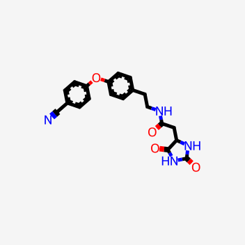 N#Cc1ccc(Oc2ccc(CCNC(=O)CC3NC(=O)NC3=O)cc2)cc1